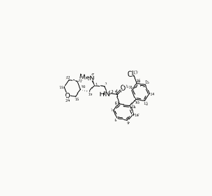 CN[C@@H](CNC(=O)c1[c]cccc1-c1cccc(Cl)c1)C[C@H]1CCCOC1